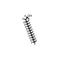 OC(F)(F)C(F)C(F)(F)C(F)(F)C(F)(F)C(F)(F)C(F)(F)C(F)(F)C(F)(F)C(F)(F)C(F)(F)C(F)(F)F